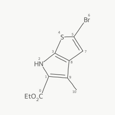 CCOC(=O)c1[nH]c2sc(Br)cc2c1C